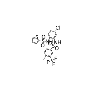 Cc1ccc(S(=O)(=O)Nc2cc(Cl)ccc2NS(=O)(=O)c2cccs2)cc1C(F)(F)F